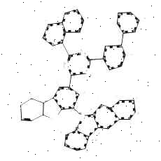 C1=CC2Oc3c(cc(-c4nc(-c5cccc(-c6ccccc6)c5)nc(-c5cccc6ccccc56)n4)cc3-n3c4ccccc4c4cc5ccccc5cc43)C2CC1